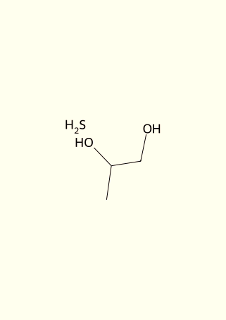 CC(O)CO.S